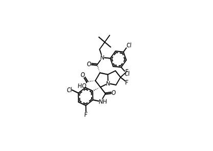 CC(C)(C)CN(C(=O)[C@@H]1C2CC(F)(F)CN2[C@@]2(C(=O)Nc3c(F)cc(Cl)cc32)[C@@H]1C(=O)O)c1cc(Cl)cc(Cl)c1